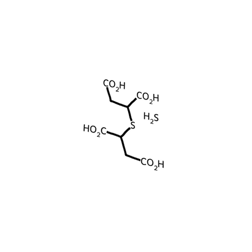 O=C(O)CC(SC(CC(=O)O)C(=O)O)C(=O)O.S